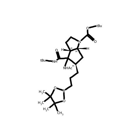 CC(=O)NC1(C(=O)NC(C)(C)C)[C@H](CCCB2OC(C)(C)C(C)(C)O2)C[C@@H]2[C@H]1CCN2C(=O)OC(C)(C)C